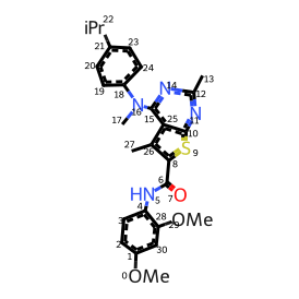 COc1ccc(NC(=O)c2sc3nc(C)nc(N(C)c4ccc(C(C)C)cc4)c3c2C)c(OC)c1